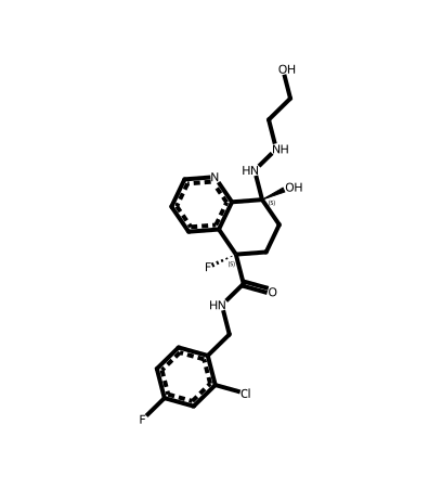 O=C(NCc1ccc(F)cc1Cl)[C@]1(F)CC[C@@](O)(NNCCO)c2ncccc21